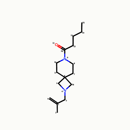 C=C(C)CN1CC2(CCN(C(=O)CCCC)CC2)C1